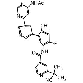 CC(=O)Nc1cc(-c2cncc(-c3cc(NC(=O)c4ccnc(C(C)(C)C#N)c4)c(F)cc3C)c2)ncn1